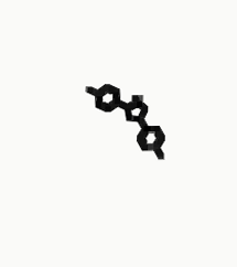 Cc1ccc(C2=NCC(c3ccc(C)cc3)C2)cc1